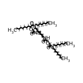 CCCCCCCCC(OCC(N)=O)C(=O)N(CCCCCCCC)CCCCCCCNC(=O)COCC(=O)N(CCCCCCCC)CCCCCCCC